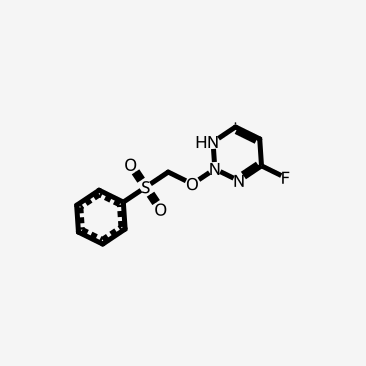 O=S(=O)(CON1N=C(F)C=[C]N1)c1ccccc1